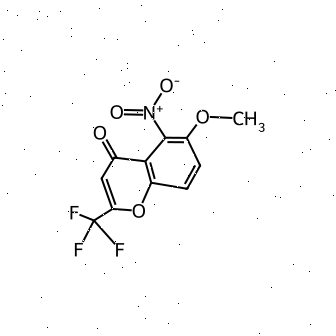 COc1ccc2oc(C(F)(F)F)cc(=O)c2c1[N+](=O)[O-]